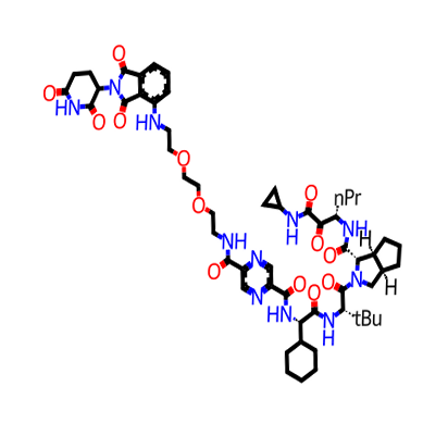 CCC[C@H](NC(=O)[C@@H]1[C@H]2CCC[C@H]2CN1C(=O)[C@@H](NC(=O)[C@@H](NC(=O)c1cnc(C(=O)NCCOCCOCCNc2cccc3c2C(=O)N(C2CCC(=O)NC2=O)C3=O)cn1)C1CCCCC1)C(C)(C)C)C(=O)C(=O)NC1CC1